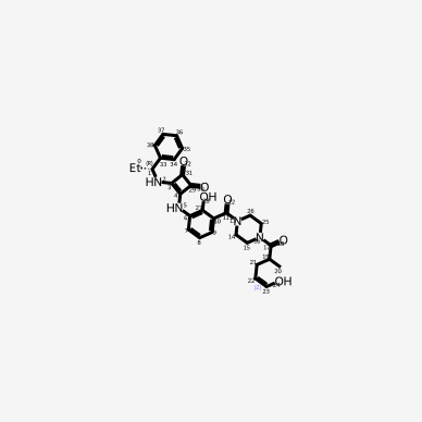 CC[C@@H](Nc1c(Nc2cccc(C(=O)N3CCN(C(=O)C(C)C/C=C\O)CC3)c2O)c(=O)c1=O)c1ccccc1